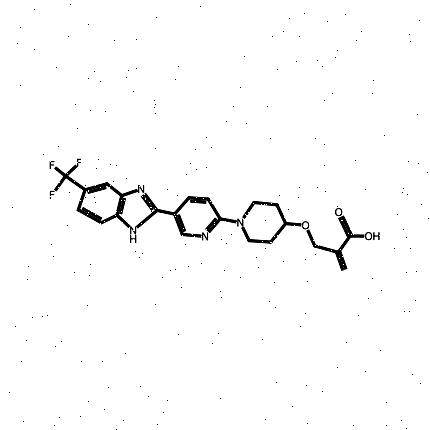 C=C(COC1CCN(c2ccc(-c3nc4cc(C(F)(F)F)ccc4[nH]3)cn2)CC1)C(=O)O